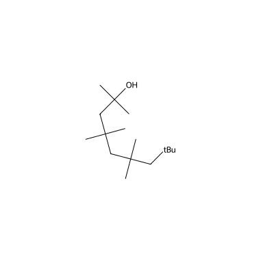 CC(C)(C)CC(C)(C)CC(C)(C)CC(C)(C)O